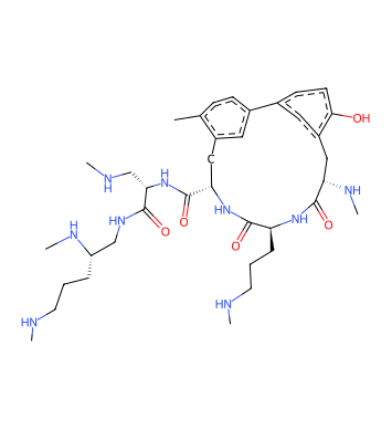 CNCCC[C@@H](CNC(=O)[C@H](CNC)NC(=O)[C@@H]1Cc2cc(ccc2C)-c2ccc(O)c(c2)C[C@H](NC)C(=O)N[C@@H](CCCNC)C(=O)N1)NC